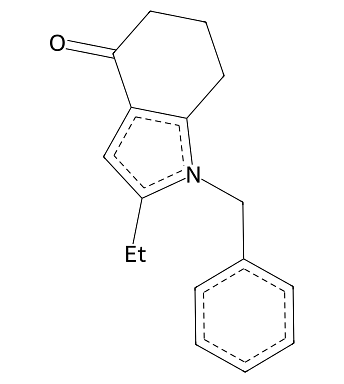 CCc1cc2c(n1Cc1ccccc1)CCCC2=O